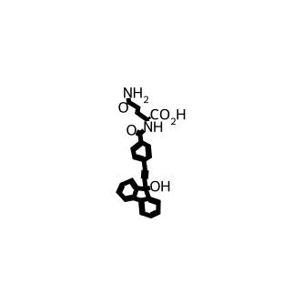 NC(=O)CC[C@H](NC(=O)c1ccc(C#CC2(O)c3ccccc3-c3ccccc32)cc1)C(=O)O